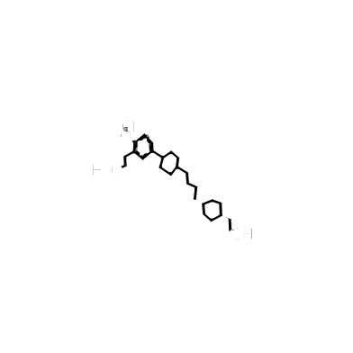 C=CC[C@H]1CC[C@H](CCCCC2CCC(c3ccc(OC)c(CCC)c3)CC2)CC1